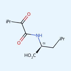 CC(C)C[C@H](NC(=O)C(=O)C(C)C)C(=O)O